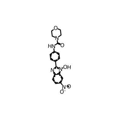 O=C(Nc1ccc(-c2nc3ccc([N+](=O)[O-])cc3n2O)cc1)N1CCOCC1